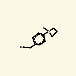 C[Si]1(c2ccc(CO)cc2)CCC1